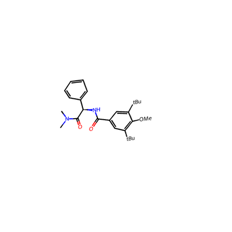 COc1c(C(C)(C)C)cc(C(=O)N[C@@H](C(=O)N(C)C)c2ccccc2)cc1C(C)(C)C